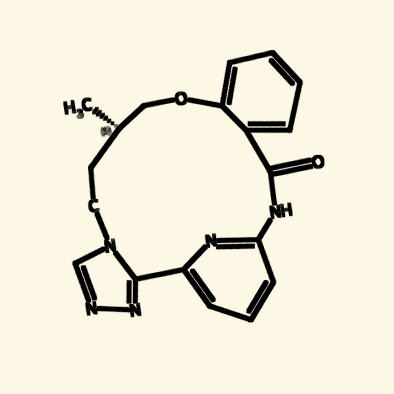 C[C@H]1CCn2cnnc2-c2cccc(n2)NC(=O)c2ccccc2OC1